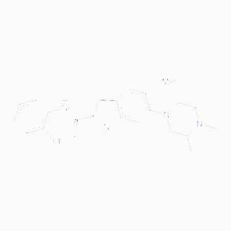 COc1cc2c(cc1N1CC(C)N(C)C(C)C1)NC(C(=O)Nc1ccccc1C(F)(F)F)C2